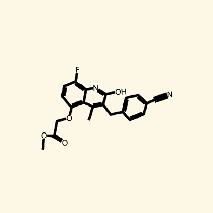 COC(=O)COc1ccc(F)c2nc(O)c(Cc3ccc(C#N)cc3)c(C)c12